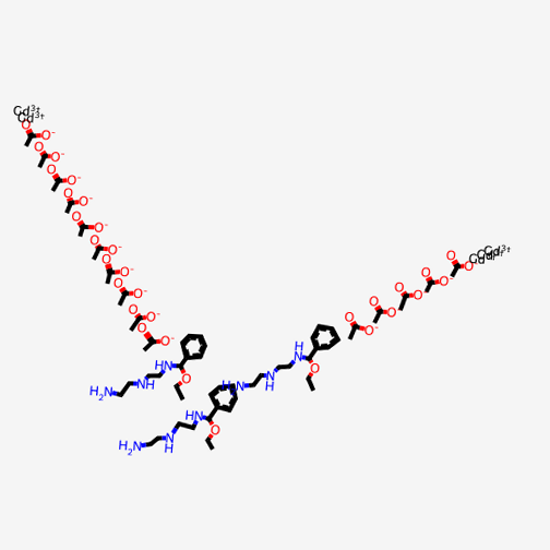 CC(=O)[O-].CC(=O)[O-].CC(=O)[O-].CC(=O)[O-].CC(=O)[O-].CC(=O)[O-].CC(=O)[O-].CC(=O)[O-].CC(=O)[O-].CC(=O)[O-].CC(=O)[O-].CC(=O)[O-].CC(=O)[O-].CC(=O)[O-].CC(=O)[O-].CCOC(NCCNCCN)c1ccccc1.CCOC(NCCNCCN)c1ccccc1.CCOC(NCCNCCN)c1ccccc1.[Gd+3].[Gd+3].[Gd+3].[Gd+3].[Gd+3]